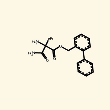 CCCC(N)(C(N)=O)C(=O)OCc1ccccc1-c1ccccc1